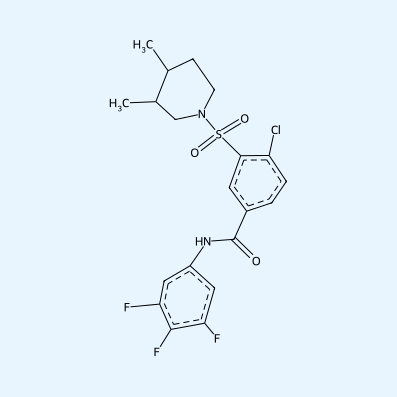 CC1CCN(S(=O)(=O)c2cc(C(=O)Nc3cc(F)c(F)c(F)c3)ccc2Cl)CC1C